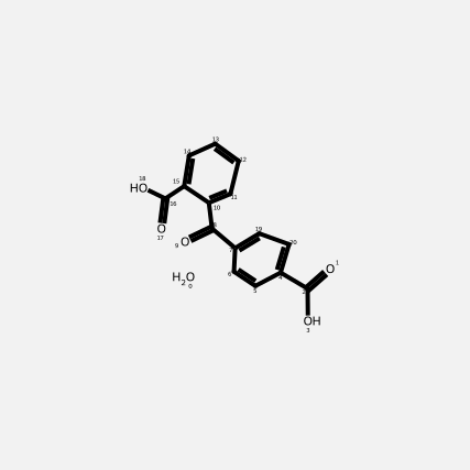 O.O=C(O)c1ccc(C(=O)c2ccccc2C(=O)O)cc1